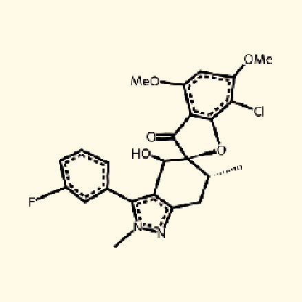 COc1cc(OC)c2c(c1Cl)O[C@]1(C2=O)C(O)c2c(nn(C)c2-c2cccc(F)c2)C[C@H]1C